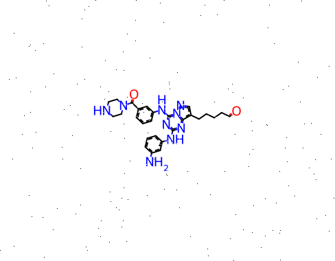 Nc1cccc(Nc2nc(Nc3cccc(C(=O)N4CCNCC4)c3)n3ncc(CCCCC=O)c3n2)c1